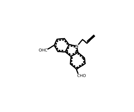 C=CCn1c2ccc(C=O)cc2c2cc(C=O)ccc21